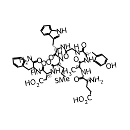 CSCC[C@H](NC(=O)[C@H](Cc1c[nH]c2ccccc12)NC(=O)CNC(=O)[C@H](Cc1ccc(O)cc1)NC(=O)[C@H](C)NC(=O)[C@H](N)CCC(=O)O)C(=O)N[C@@H](CC(=O)O)C(=O)N[C@@H](Cc1ccccc1)C(N)=O